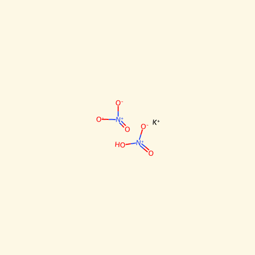 O=[N+]([O-])O.O=[N+]([O-])[O-].[K+]